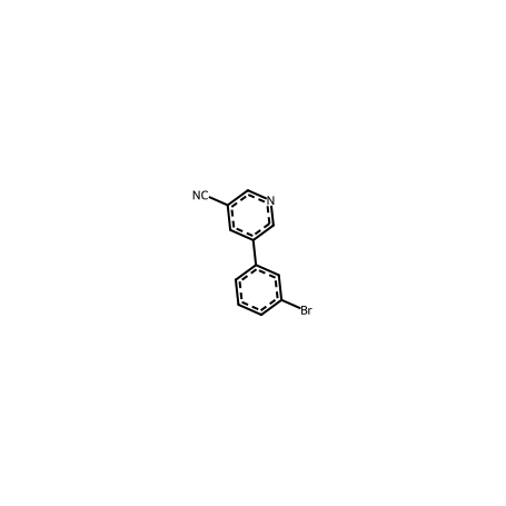 N#Cc1cncc(-c2cccc(Br)c2)c1